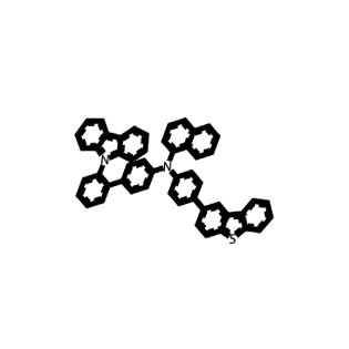 c1ccc(-n2c3ccccc3c3ccccc32)c(-c2ccc(N(c3ccc(-c4ccc5sc6ccccc6c5c4)cc3)c3cccc4ccccc34)cc2)c1